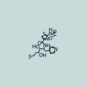 CSCCC(O)C(O)C(Cc1ccncc1)NC(=O)c1csc(NS(C)(=O)=O)n1